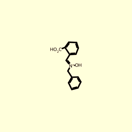 O=C(O)c1ccccc1/C=[N+](\O)Cc1ccccc1